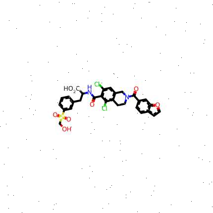 O=C(NC(Cc1cccc(S(=O)(=O)CO)c1)C(=O)O)c1c(Cl)cc2c(c1Cl)CCN(C(=O)c1ccc3ccoc3c1)C2